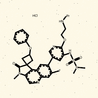 CC(C)NCCOc1ncc(-c2cc3c4c(cnc3cc2F)N(C)C(=O)C42CC(Oc3ccccc3)C2)cc1NS(=O)(=O)N(C)C.Cl